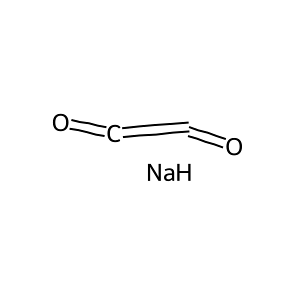 O=C=C=O.[NaH]